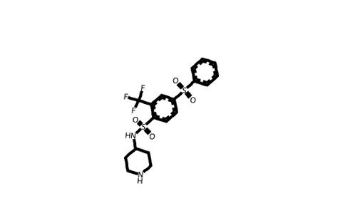 O=S(=O)(NC1CCNCC1)c1ccc(S(=O)(=O)c2ccccc2)cc1C(F)(F)F